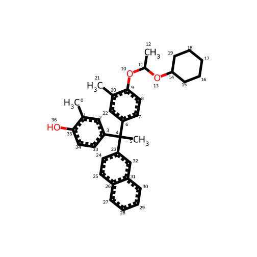 Cc1cc(C(C)(c2ccc(OC(C)OC3CCCCC3)c(C)c2)c2ccc3ccccc3c2)ccc1O